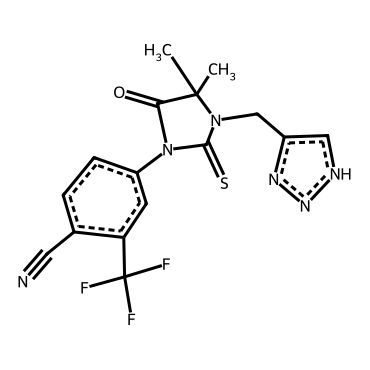 CC1(C)C(=O)N(c2ccc(C#N)c(C(F)(F)F)c2)C(=S)N1Cc1c[nH]nn1